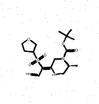 C[C@H]1CN/C(=C(\C=N)S(=O)(=O)C2CCOC2)CN1C(=O)OC(C)(C)C